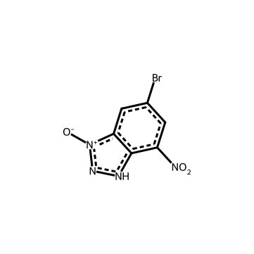 O=[N+]([O-])c1cc(Br)cc2c1[nH]n[n+]2[O-]